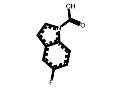 O=C(O)n1ccc2cc(F)ccc21